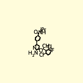 CC(C)NC(=O)c1ccc(-c2cnc(N)c(OC(C)c3c(Cl)ccc(F)c3Cl)c2)cc1